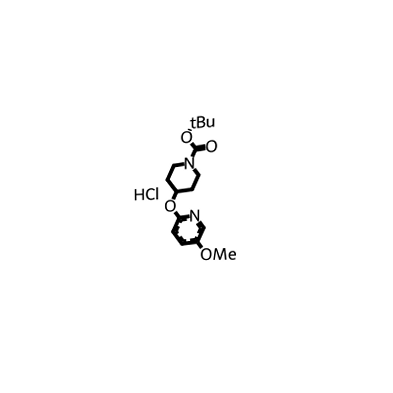 COc1ccc(OC2CCN(C(=O)OC(C)(C)C)CC2)nc1.Cl